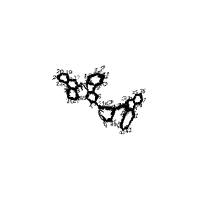 c1cc(-c2ccc3c(c2)c2ccccc2n3-c2cc3ccccc3c3ccccc23)cc(-c2cc3ccccc3c3ccccc23)c1